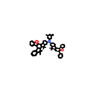 Cc1cc(C)cc(N(c2ccc3c(c2)C(C)(C)c2cc(-c4ccccc4)c4oc5ccccc5c4c2-3)c2ccc3c(c2)C(C)(C)c2c4c(c5c(oc6ccccc65)c2-3)-c2ccccc2C4(C)C)c1